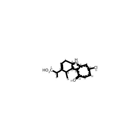 CC(C(=O)O)C1=CCc2[nH]c3cc(Cl)ccc(=O)c3c2C1C